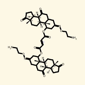 C[C@]12C(CC(=O)[C@@H]3[C@H]1CC[C@]1(C)C(=O)CC[C@@H]31)CC(=NOCCN)CC2OC(=O)/C=C/C(=O)OC1CC(=NOCCN)CC2CC(=O)[C@@H]3[C@@H](CC[C@]4(C)C(=O)CC[C@@H]34)[C@]21C